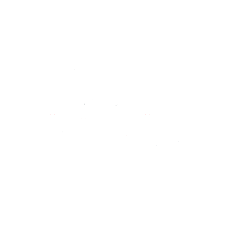 CC(=O)OC12CC3CC(C1)CC(C(=O)OC(C(C)C)C(F)(F)C(=O)O)(C3)C2